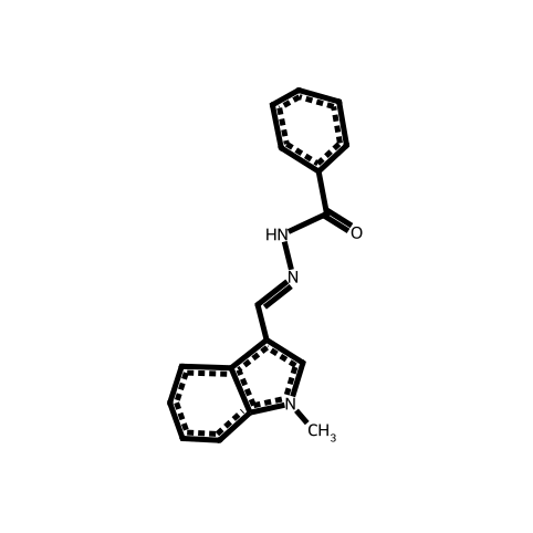 Cn1cc(C=NNC(=O)c2ccccc2)c2ccccc21